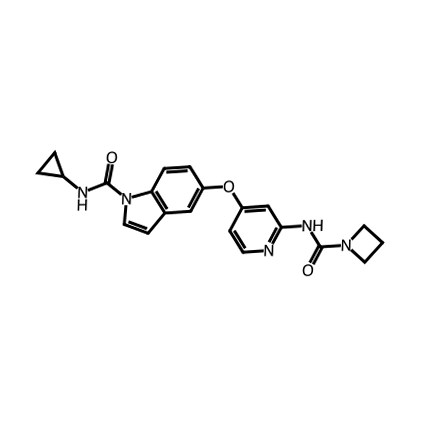 O=C(Nc1cc(Oc2ccc3c(ccn3C(=O)NC3CC3)c2)ccn1)N1CCC1